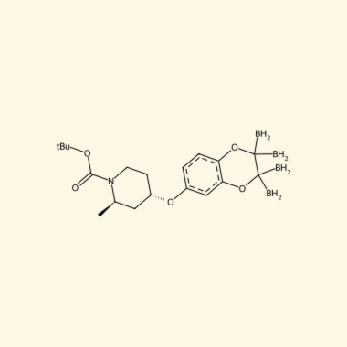 BC1(B)Oc2ccc(O[C@H]3CCN(C(=O)OC(C)(C)C)[C@H](C)C3)cc2OC1(B)B